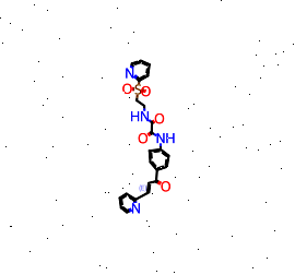 O=C(NCCS(=O)(=O)c1ccccn1)C(=O)Nc1ccc(C(=O)/C=C/c2ccccn2)cc1